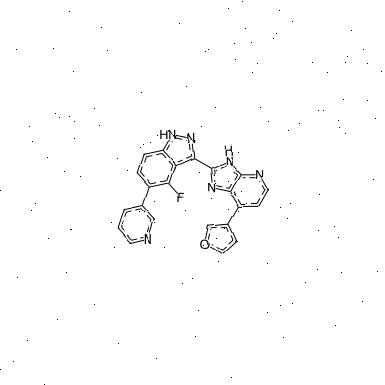 Fc1c(-c2cccnc2)ccc2[nH]nc(-c3nc4c(-c5ccoc5)ccnc4[nH]3)c12